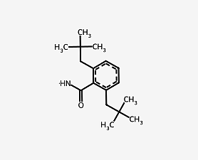 CC(C)(C)Cc1cccc(CC(C)(C)C)c1C([NH])=O